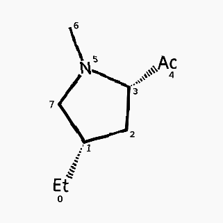 CC[C@H]1C[C@@H](C(C)=O)N(C)C1